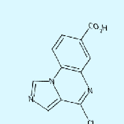 O=C(O)c1ccc2c(c1)nc(Cl)c1cncn12